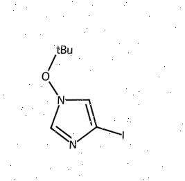 CC(C)(C)On1cnc(I)c1